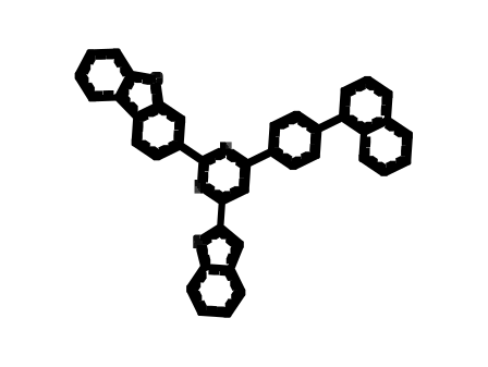 c1ccc2sc(-c3cc(-c4ccc(-c5cccc6ccccc56)cc4)nc(-c4ccc5c(c4)oc4ccccc45)n3)cc2c1